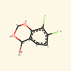 Fc1ccc2c(c1F)OCOC2Br